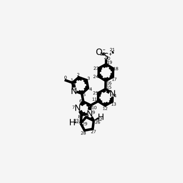 Cc1cccc(-c2nc3n(c2-c2ccnc(-c4ccc([S+](C)[O-])cc4)c2)[C@@H]2CC[C@@H]3C2)n1